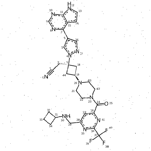 N#CC[C@]1(n2cc(-c3ncnc4[nH]ccc34)cn2)C[C@@H](N2CCN(C(=O)c3cc(CNC4CCC4)nc(C(F)(F)F)n3)CC2)C1